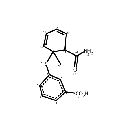 CC1(Sc2cccc(C(=O)O)c2)C=CC=CC1C(N)=O